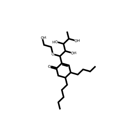 CCCCCC1CC(=O)C(C(OCCO)C(O)C(O)C(C)O)=CC1CCCC